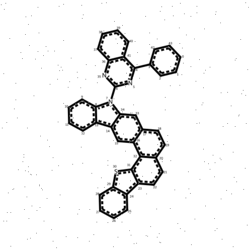 c1ccc(-c2nc(-n3c4ccccc4c4cc5c(ccc6ccc7c8ccccc8sc7c65)cc43)nc3ccccc23)cc1